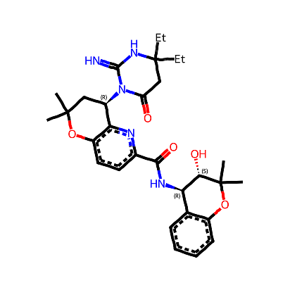 CCC1(CC)CC(=O)N([C@@H]2CC(C)(C)Oc3ccc(C(=O)N[C@@H]4c5ccccc5OC(C)(C)[C@H]4O)nc32)C(=N)N1